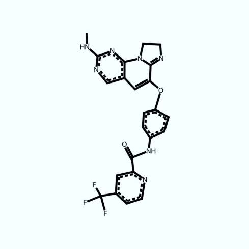 CNc1ncc2c(n1)N1CCN=C1C(Oc1ccc(NC(=O)c3cc(C(F)(F)F)ccn3)cc1)=C2